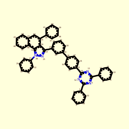 c1ccc(-c2nc(-c3ccccc3)nc(-c3ccc(-c4cccc(-c5nn(-c6ccccc6)c6c5c(-c5ccccc5)cc5ccccc56)c4)cc3)n2)cc1